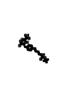 CC(C)(C)OC(=O)NCCCOc1ccc(C[C@@H](NC(=O)C(=O)O)C(=O)O)cc1